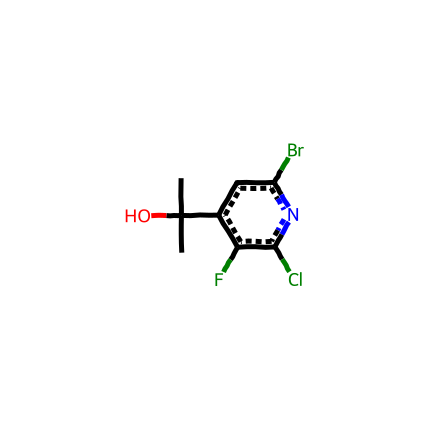 CC(C)(O)c1cc(Br)nc(Cl)c1F